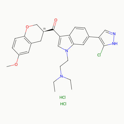 CCN(CC)CCn1cc(C(=O)[C@@H]2COc3ccc(OC)cc3C2)c2ccc(-c3cn[nH]c3Cl)cc21.Cl.Cl